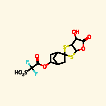 O=C1OC2SC3(CC4CC3CC4OC(=O)C(F)(F)S(=O)(=O)O)SC2C1O